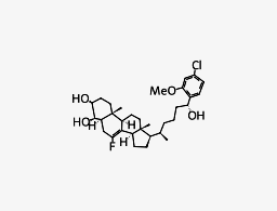 COc1cc(Cl)ccc1[C@H](O)CCC[C@@H](C)[C@H]1CC[C@H]2C3=C(F)C[C@H]4[C@@H](O)[C@@H](O)CC[C@]4(C)[C@H]3CC[C@]12C